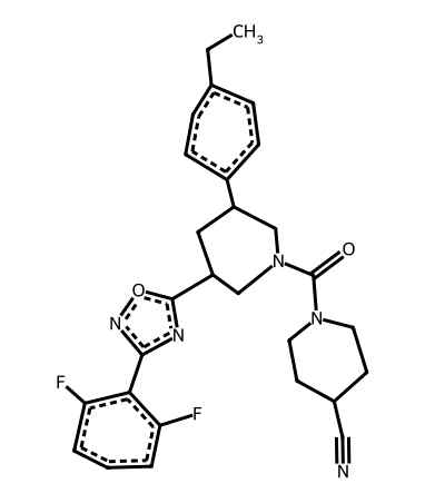 CCc1ccc(C2CC(c3nc(-c4c(F)cccc4F)no3)CN(C(=O)N3CCC(C#N)CC3)C2)cc1